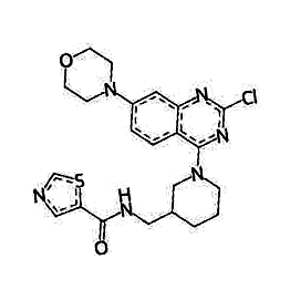 O=C(NCC1CCCN(c2nc(Cl)nc3cc(N4CCOCC4)ccc23)C1)c1cncs1